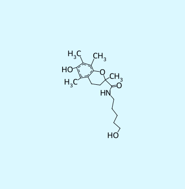 Cc1c(C)c2c(c(C)c1O)CCC(C)(C(=O)NCCCCCO)O2